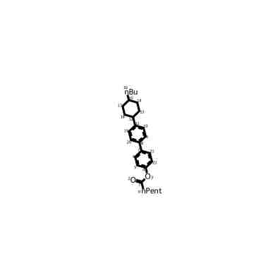 CCCCCC(=O)Oc1ccc(-c2ccc(C3CCC(CCCC)CC3)cc2)cc1